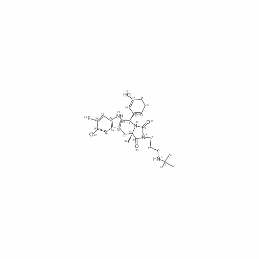 CC(C)(C)NCCCN1C(=O)N2[C@H](C3=CCCC(O)=C3)c3[nH]c4cc(F)c(Cl)cc4c3C[C@@]2(C)C1=O